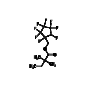 CCC(C)(C)C(=O)OCC1(F)C(F)C(F)(F)C(F)(F)C1(F)F